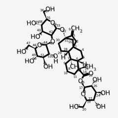 C=C1CC23CC[C@H]4[C@@](C)(CCC[C@@]4(C)C(=O)O[C@@H]4O[C@H](CO)[C@@H](O)[C@H](O)[C@H]4O)[C@@H]2CC[C@]1(O[C@@H]1O[C@H](CO)[C@@H](O)[C@H](O)C1O[C@@H]1O[C@H](CO)[C@@H](O)[C@H](O)[C@H]1O)C3